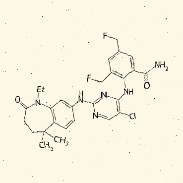 CCN1C(=O)CCC(C)(C)c2ccc(Nc3ncc(Cl)c(Nc4c(CF)cc(CF)cc4C(N)=O)n3)cc21